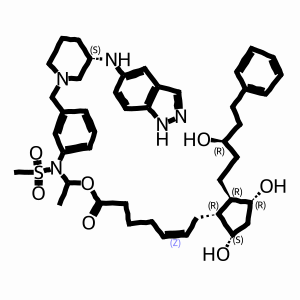 CC(OC(=O)CCC/C=C\C[C@@H]1[C@@H](CC[C@@H](O)CCc2ccccc2)[C@H](O)C[C@@H]1O)N(c1cccc(CN2CCC[C@H](Nc3ccc4[nH]ncc4c3)C2)c1)S(C)(=O)=O